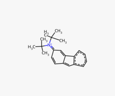 CC(C)(C)[N+](=C1C=CC2=Cc3ccccc3C2=C1)C(C)(C)C